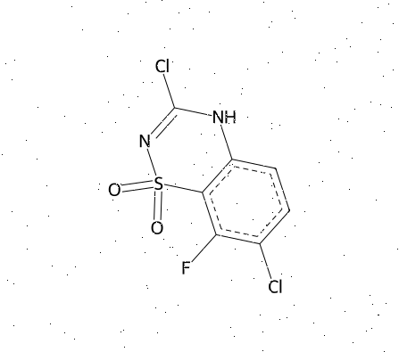 O=S1(=O)N=C(Cl)Nc2ccc(Cl)c(F)c21